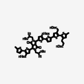 CCCCCCCCCCCCc1cc(C)sc1-c1sc(-c2ccc(-c3sc(C4=C5C(=O)N(CC(CC)CCCC)C(c6cc(CCCCCC)c(-c7ccc(C)s7)s6)=C5C(=O)N4CC(CC)CCCC)cc3CCCCCC)s2)cc1CCCCCCCCCCC